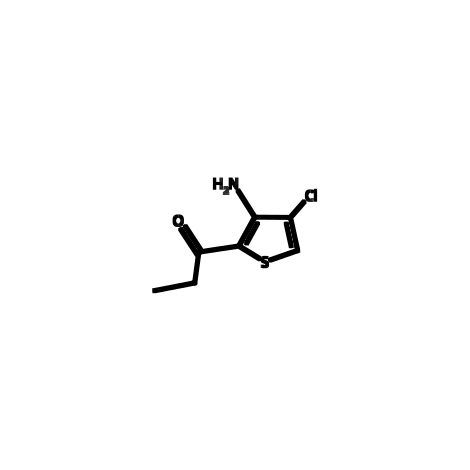 CCC(=O)c1scc(Cl)c1N